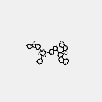 c1ccc(-c2nc(-c3ccc4c(-c5cc6ccc7ccccc7c6c6oc7ccc8ccccc8c7c56)cccc4c3)nc(-c3ccc4sc5ccccc5c4c3)n2)cc1